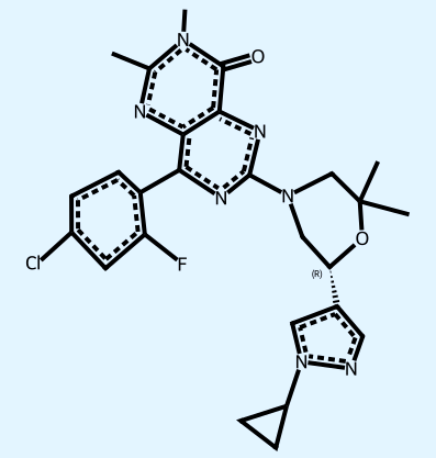 Cc1nc2c(-c3ccc(Cl)cc3F)nc(N3C[C@@H](c4cnn(C5CC5)c4)OC(C)(C)C3)nc2c(=O)n1C